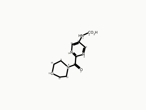 O=C(O)Nc1cnc(C(=O)N2CCOCC2)nc1